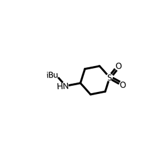 CCC(C)NC1CCS(=O)(=O)CC1